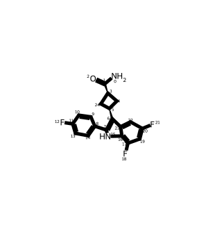 NC(=O)[C@H]1C[C@@H](c2c(-c3ccc(F)cc3)[nH]c3c(F)cc(F)cc32)C1